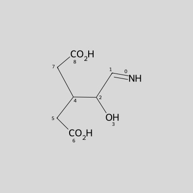 N=CC(O)C(CC(=O)O)CC(=O)O